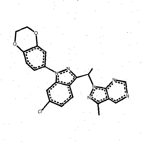 Cc1nn(C(C)c2nn(-c3ccc4c(c3)OCCO4)c3cc(Cl)ccc23)c2ncncc12